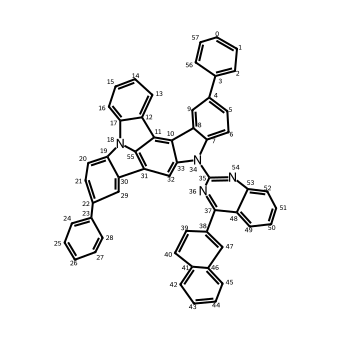 c1ccc(-c2ccc3c(c2)c2c4c5ccccc5n5c6ccc(-c7ccccc7)cc6c(cc2n3-c2nc(-c3ccc6ccccc6c3)c3ccccc3n2)c45)cc1